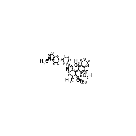 Cc1cc2nc(-c3cccc(-c4ccc5c(cnn5C)c4)c3)sc2c(-c2cc(F)c3c(c2C)CCCO3)c1[C@H](OC(C)(C)C)C(=O)O